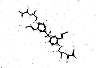 C=C(C)C(=O)OC(C)COc1ccc(C(C)(C)c2ccc(OCC(C)OC(=O)C(=C)C)c(C=CC)c2)cc1C=CC